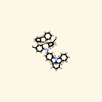 Cc1ccc2c(c1)[Si]1(c3ccccc3-c3ccccc31)c1cc(C)ccc1N2c1ccc2c3cccc4c5ccccc5n(c2c1)c43